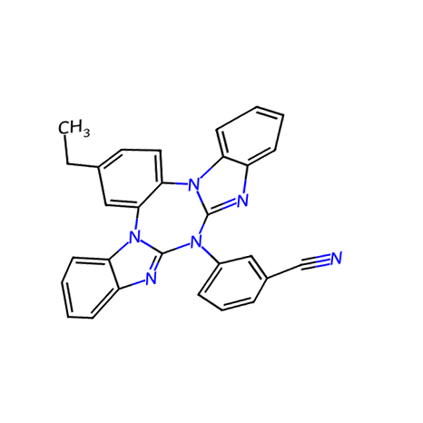 CCc1ccc2c(c1)n1c3ccccc3nc1n(-c1cccc(C#N)c1)c1nc3ccccc3n21